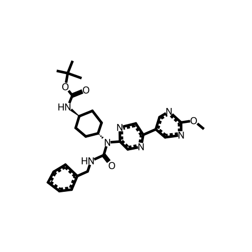 COc1ncc(-c2cnc(N(C(=O)NCc3ccccc3)[C@H]3CC[C@H](NC(=O)OC(C)(C)C)CC3)cn2)cn1